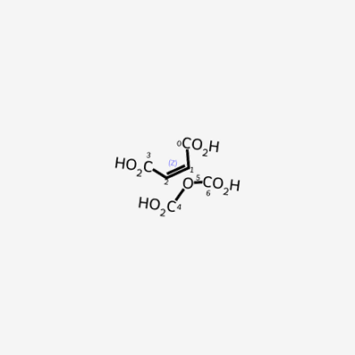 O=C(O)/C=C\C(=O)O.O=C(O)OC(=O)O